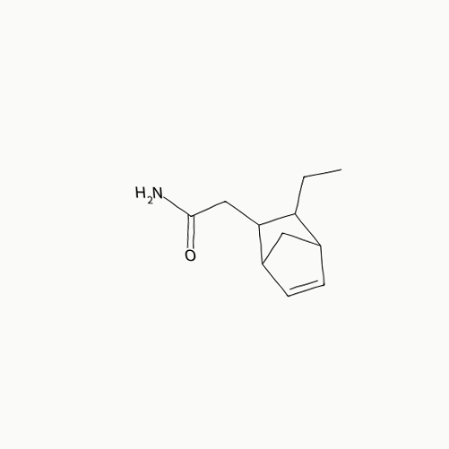 CCC1C2C=CC(C2)C1CC(N)=O